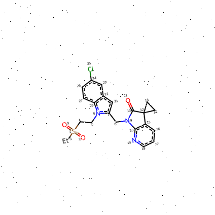 CCS(=O)(=O)CCn1c(CN2C(=O)C3(CC3)c3cccnc32)cc2cc(Cl)ccc21